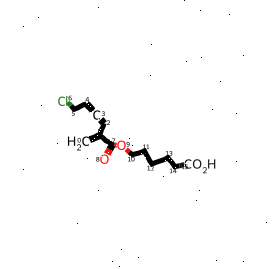 C=C(C=C=CCCl)C(=O)OCCCCCC(=O)O